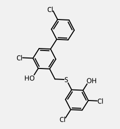 Oc1c(Cl)cc(-c2cccc(Cl)c2)cc1CSc1cc(Cl)cc(Cl)c1O